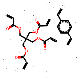 C=CC(=O)OCC(COC(=O)C=C)(COC(=O)C=C)COC(=O)C=C.C=Cc1ccc(C=C)cc1